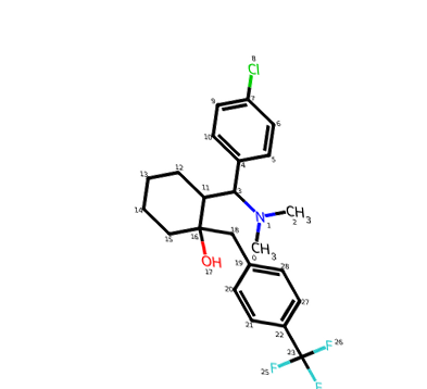 CN(C)C(c1ccc(Cl)cc1)C1CCCCC1(O)Cc1ccc(C(F)(F)F)cc1